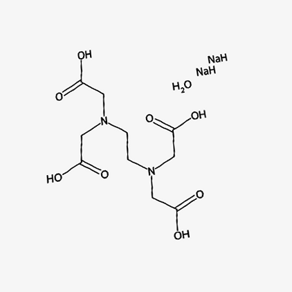 O.O=C(O)CN(CCN(CC(=O)O)CC(=O)O)CC(=O)O.[NaH].[NaH]